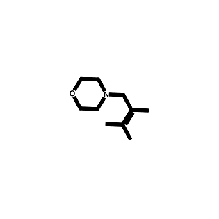 CC(C)=C(C)CN1CCOCC1